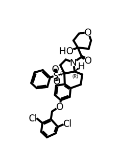 O=C(N1CC[C@@]2(S(=O)(=O)c3ccccc3)c3ccc(OCc4c(Cl)cccc4Cl)cc3CC[C@@H]12)C1(O)CCOCC1